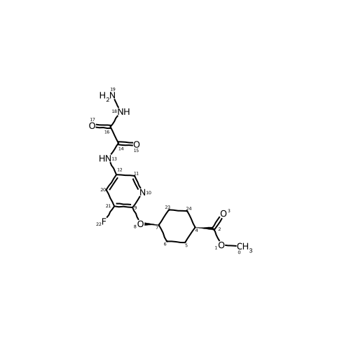 COC(=O)[C@H]1CC[C@@H](Oc2ncc(NC(=O)C(=O)NN)cc2F)CC1